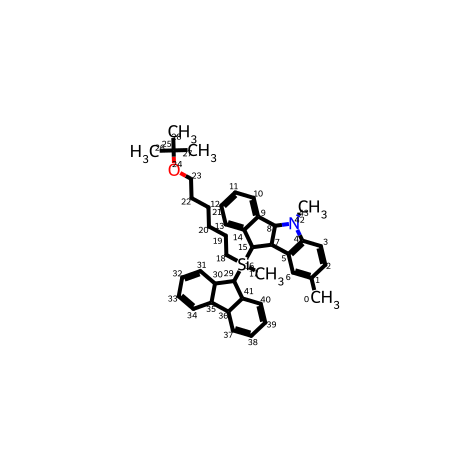 Cc1ccc2c(c1)C1C(c3ccccc3C1[Si](C)(CCCCCCOC(C)(C)C)C1C3C=CC=CC3C3C=CC=CC31)N2C